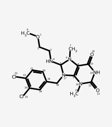 COCCNC1N(C)c2c(n(C)c(=O)[nH]c2=O)N1Cc1ccc(Cl)c(Cl)c1